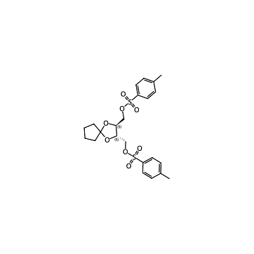 Cc1ccc(S(=O)(=O)OC[C@@H]2OC3(CCCC3)O[C@H]2COS(=O)(=O)c2ccc(C)cc2)cc1